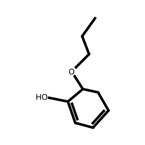 CCCO[C]1CC=CC=C1O